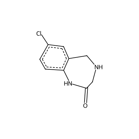 O=C1CNCc2cc(Cl)ccc2N1